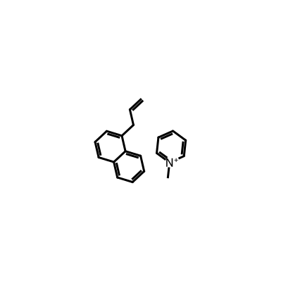 C=CCc1cccc2ccccc12.C[n+]1ccccc1